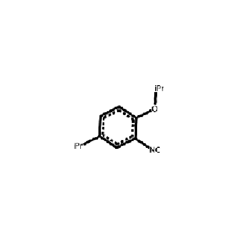 [C-]#[N+]c1cc(C(C)C)ccc1OC(C)C